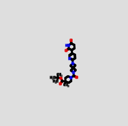 CC(C)(C)OC(=O)C1(C)CCN(C(=O)N2CC3(C2)CN(c2ccc(C4CCC(=O)NC4=O)cn2)C3)CC1